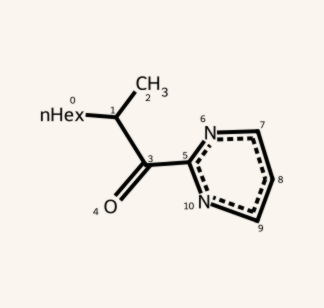 CCCCCCC(C)C(=O)c1ncccn1